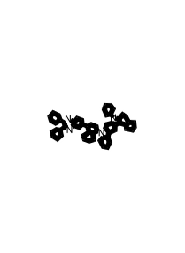 c1ccc(-c2nc3ccc(-c4ccc(-n5c6ccccc6c6cc7c8c9ccccc9ccc8n(-c8ccccc8)c7cc65)c5ccccc45)cc3nc2-c2ccccc2)cc1